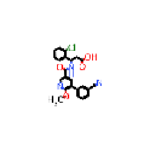 COc1ncc(C(=O)NC(CC(=O)O)c2ccccc2Cl)cc1-c1cccc(C#N)c1